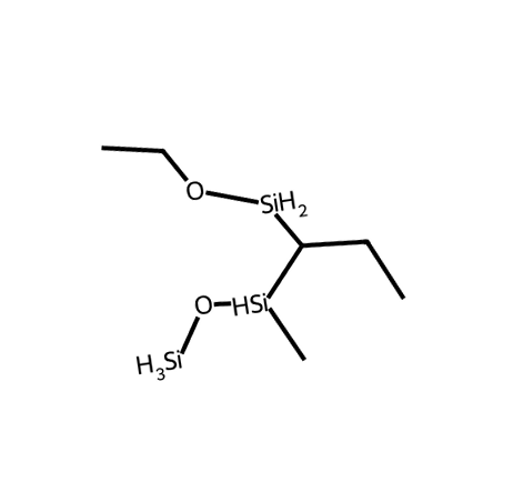 CCO[SiH2]C(CC)[SiH](C)O[SiH3]